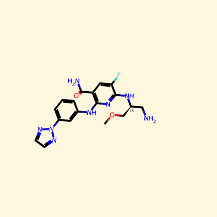 COC[C@H](CN)Nc1nc(Nc2cccc(-n3nccn3)c2)c(C(N)=O)cc1F